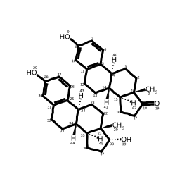 C[C@]12CC[C@@H]3c4ccc(O)cc4CC[C@H]3[C@@H]1CCC2=O.C[C@]12CC[C@@H]3c4ccc(O)cc4CC[C@H]3[C@@H]1CC[C@H]2O